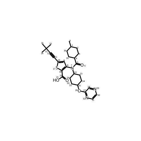 CC1CCC(C(=O)N(c2cc(C#CC(C)(C)C)sc2C(=O)O)C2CCC(Oc3cnccn3)CC2)CC1